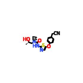 CCN(C[C@H](C)O)C(=O)Nc1ncc(Oc2ccc(CC#N)cc2)s1